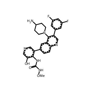 CONC(=O)Nc1c(O)cncc1-c1ccc2ncc(-c3cc(F)cc(F)c3)c(N3CCC(N)CC3)c2c1